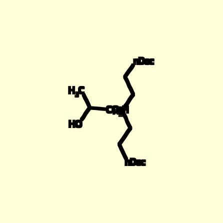 CC(O)C(=O)O.CCCCCCCCCCCCNCCCCCCCCCCCC